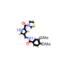 COc1ccc(C(=O)NCC2CNC(C(=O)N3CCSC3)C2)cc1OC